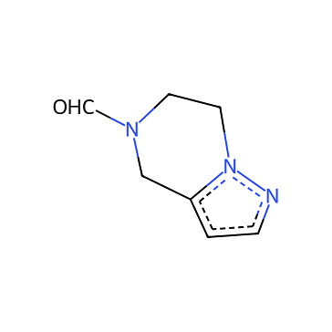 O=CN1CCn2nccc2C1